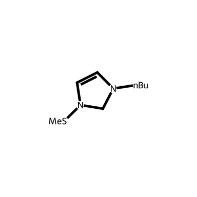 CCCCN1C=CN(SC)C1